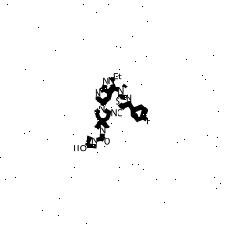 CCn1nc2ncc(N3CCC4(CC3)CN(C(=O)N3CC(O)C3)C4)cc2c1N(C)c1nc(-c2ccc(F)cc2)c(C#N)s1